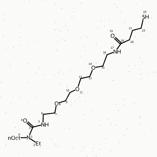 CCCCCCCCN(CC)C(=O)NCCOCCOCCOCCNC(=O)CCCS